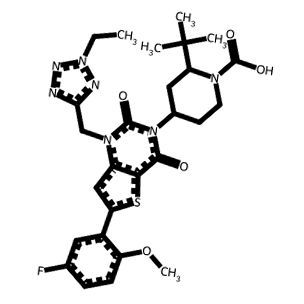 CCn1nnc(Cn2c(=O)n(C3CCN(C(=O)O)C(C(C)(C)C)C3)c(=O)c3sc(-c4cc(F)ccc4OC)cc32)n1